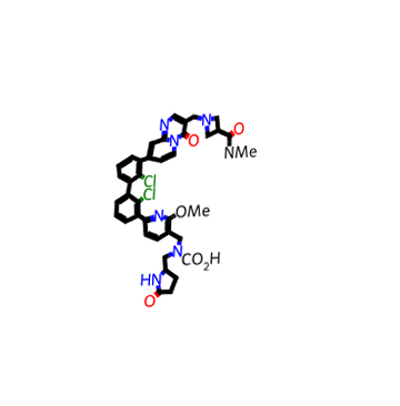 CNC(=O)C1CN(Cc2cnc3cc(-c4cccc(-c5cccc(-c6ccc(CN(CC7CCC(=O)N7)C(=O)O)c(OC)n6)c5Cl)c4Cl)ccn3c2=O)C1